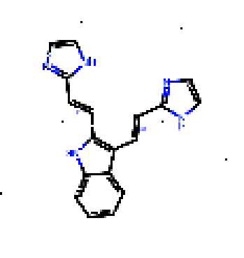 C(=C\c1[nH]c2ccccc2c1/C=C/c1ncc[nH]1)/c1ncc[nH]1